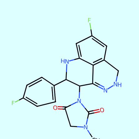 CN1CC(=O)N(C2C3=NNCc4cc(F)cc(c43)NC2c2ccc(F)cc2)C1=O